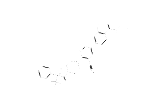 CN(C)C(=O)c1ccc(-c2cnc(N3CCN(C(=O)[C@](O)(c4ccccc4)C(F)(F)F)CC3)c(C#N)c2)cc1Cl